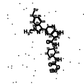 Cn1nc(-c2cnc3[nH]cc(C(=O)N[C@@H]4CCC[C@H](NC(=O)OC(C)(C)C)C4)c3n2)c2ccc(CI)cc21